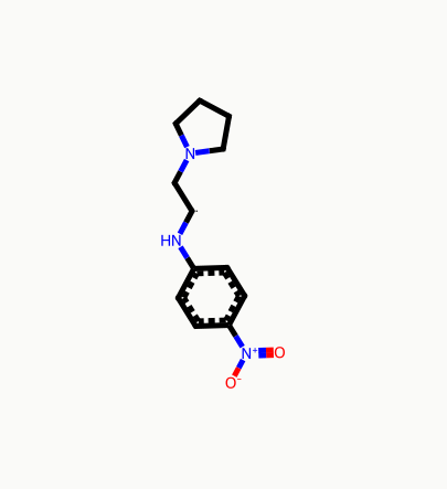 O=[N+]([O-])c1ccc(N[CH]CN2CCCC2)cc1